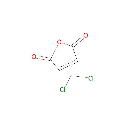 ClCCl.O=C1C=CC(=O)O1